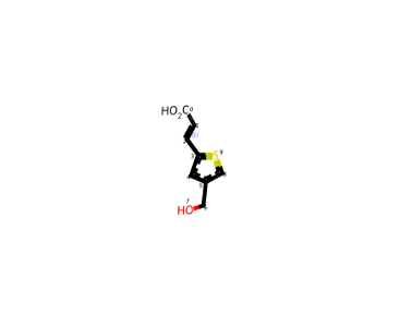 O=C(O)/C=C/c1cc(CO)cs1